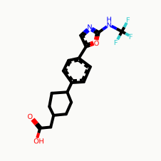 O=C(O)CC1CCC(c2ccc(-c3cnc(NC(F)(F)F)o3)cc2)CC1